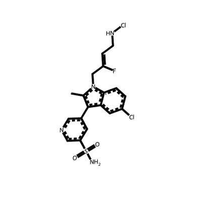 Cc1c(-c2cncc(S(N)(=O)=O)c2)c2cc(Cl)ccc2n1C/C(F)=C/CNCl